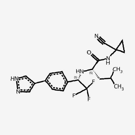 CC(C)C[C@H](N[C@@H](c1ccc(-c2cn[nH]c2)cc1)C(F)(F)F)C(=O)NC1(C#N)CC1